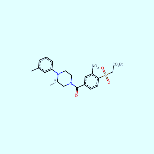 CCOC(=O)CS(=O)(=O)c1ccc(C(=O)N2CCN(c3cccc(C)c3)[C@@H](C)C2)cc1[N+](=O)[O-]